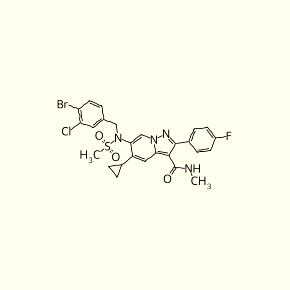 CNC(=O)c1c(-c2ccc(F)cc2)nn2cc(N(Cc3ccc(Br)c(Cl)c3)S(C)(=O)=O)c(C3CC3)cc12